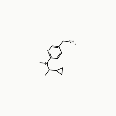 CC(C1CC1)N(C)c1ccc(CN)cn1